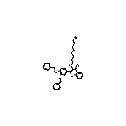 O=c1c(OCCCCCCCCBr)c(-c2ccc(OCc3ccccc3)c(OCc3ccccc3)c2)oc2ccccc12